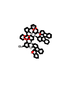 CC(C)(C)c1cc2c3c(c1)N(c1ccccc1)c1cc4c(cc1B3c1ccc3c(c1O2)C1(c2ccccc2-c2ccccc21)c1ccccc1-3)B1c2ccc3c(c2Oc2cc(C(C)(C)C)cc(c21)N4c1c(-c2ccccc2)cccc1-c1ccccc1)C1(c2ccccc2-c2ccccc21)C1CCCCC31